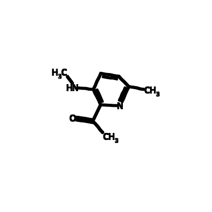 CNc1ccc(C)nc1C(C)=O